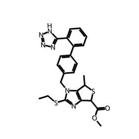 CCSc1nc2c(n1Cc1ccc(-c3ccccc3-c3nnn[nH]3)cc1)C(C)SC2C(=O)OC